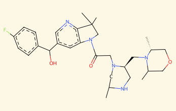 CC1CN(CC(=O)N2CC(C)(C)c3ncc(C(O)c4ccc(F)cc4)cc32)[C@@H](CN2C(C)COC[C@H]2C)CN1